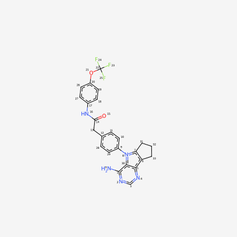 Nc1ncnc2c3c(n(-c4ccc(CC(=O)Nc5ccc(OC(F)(F)F)cc5)cc4)c12)CCC3